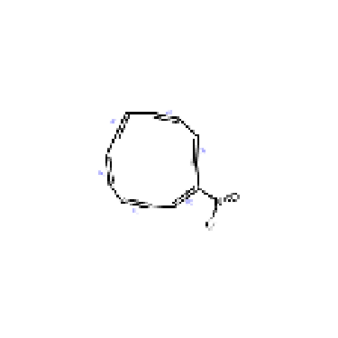 O=[N+]([O-])C1=C/C=C\C=C/C=C\C=C/C=C\1